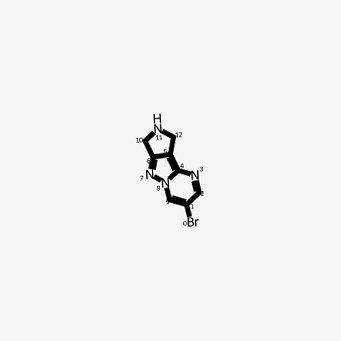 Brc1cnc2c3c(nn2c1)CNC3